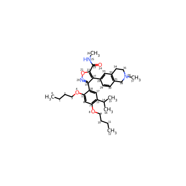 CCCCOc1cc(OCCCC)c(C(C)C)cc1-c1noc(C(=O)NC)c1-c1ccc2c(c1)CCN(C)C2